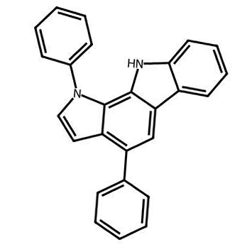 c1ccc(-c2cc3c4ccccc4[nH]c3c3c2ccn3-c2ccccc2)cc1